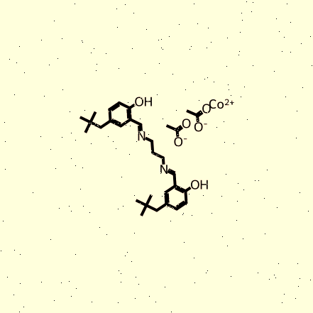 CC(=O)[O-].CC(=O)[O-].CC(C)(C)Cc1ccc(O)c(C=NCCCN=Cc2cc(CC(C)(C)C)ccc2O)c1.[Co+2]